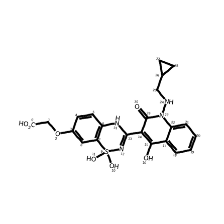 O=C(O)COc1ccc2c(c1)S(O)(O)N=C(c1c(O)c3ccccc3n(NCC3CC3)c1=O)N2